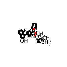 CN(C)CC1(COc2nc(N3CC4CCC(C3)N4C(=O)OC(C)(C)C)c3cc(F)c(-c4cc(O)cc5ccccc45)c(F)c3n2)CC1